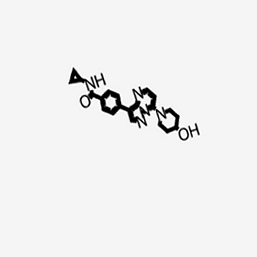 O=C(NC1CC1)c1ccc(-c2cnn3c(N4CCC(O)CC4)ccnc23)cc1